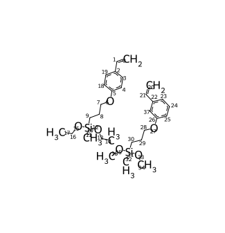 C=Cc1ccc(OCCC[Si](C)(OCC)OCC)cc1.C=Cc1cccc(OCCC[Si](C)(OC)OC)c1